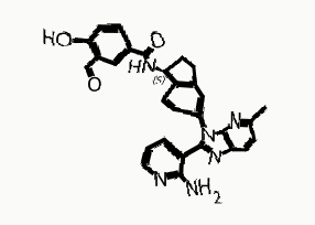 Cc1ccc2nc(-c3cccnc3N)n(-c3ccc4c(c3)CC[C@@H]4NC(=O)c3ccc(O)c(C=O)c3)c2n1